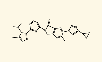 Cc1cc2c(cc1-n1cnc(C3CC3)c1)C(=O)N(c1cccc(-c3nnc(C)n3C(C)C)n1)C2